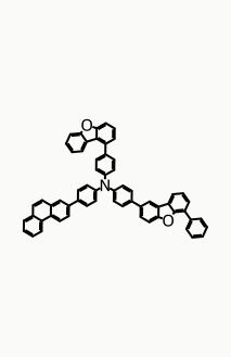 c1ccc(-c2cccc3c2oc2ccc(-c4ccc(N(c5ccc(-c6ccc7c(ccc8ccccc87)c6)cc5)c5ccc(-c6cccc7oc8ccccc8c67)cc5)cc4)cc23)cc1